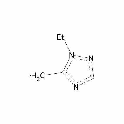 [CH2]c1ncnn1CC